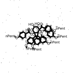 CCCCCOc1ccc(C(=O)O[C@@]2(C(=O)c3ccc(OCCCCC)cc3)[C@@](OC(=O)c3ccc(OCCCCC)cc3)(C(=O)c3ccc(OCCCCC)cc3)[C@@H](O)[C@H](O)[C@@H](O)[C@@]2(OC(=O)c2ccc(OCCCCC)cc2)C(=O)c2ccc(OCCCCC)cc2)cc1